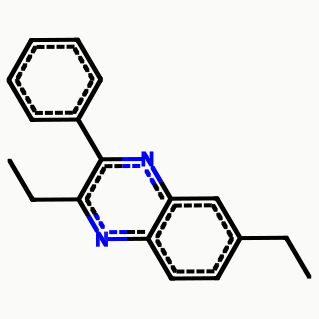 CCc1ccc2nc(CC)c(-c3ccccc3)nc2c1